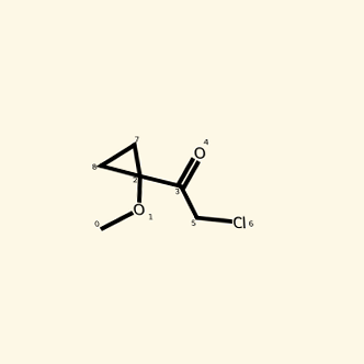 COC1(C(=O)CCl)CC1